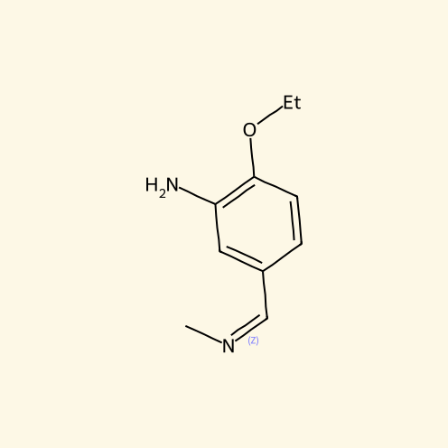 CCOc1ccc(/C=N\C)cc1N